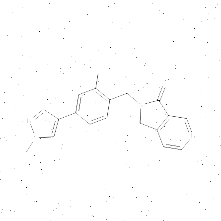 Cn1cc(-c2ccc(CN3Cc4ccncc4C3=O)c(F)c2)cn1